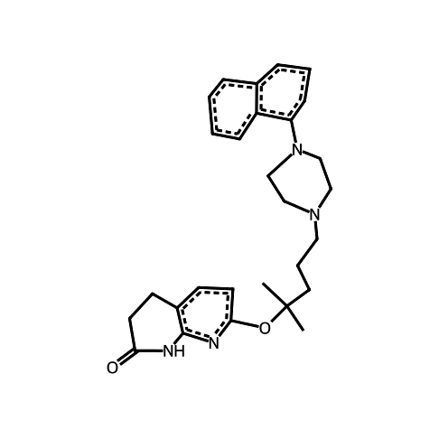 CC(C)(CCCN1CCN(c2cccc3ccccc23)CC1)Oc1ccc2c(n1)NC(=O)CC2